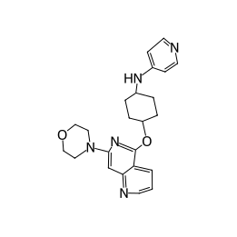 c1cnc2cc(N3CCOCC3)nc(OC3CCC(Nc4ccncc4)CC3)c2c1